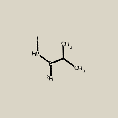 [2H]B(PI)C(C)C